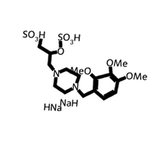 COc1ccc(CN2CCN(CC(CS(=O)(=O)O)OS(=O)(=O)O)CC2)c(OC)c1OC.[NaH].[NaH]